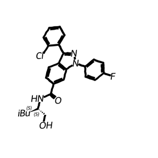 CC[C@H](C)[C@@H](CO)NC(=O)c1ccc2c(-c3ccccc3Cl)nn(-c3ccc(F)cc3)c2c1